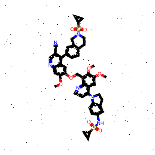 COc1cc2ncc(C#N)c(-c3ccc4c(c3)CN(S(=O)(=O)C3CC3)CC4)c2cc1OCc1c(OC)c(OC)cc2c(N3CCc4cc(NS(=O)(=O)C5CC5)ccc43)ccnc12